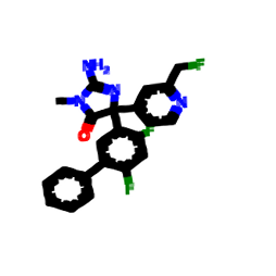 CN1C(=O)C(c2ccnc(CF)c2)(c2cc(-c3ccccc3)c(F)cc2F)N=C1N